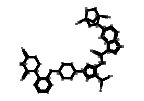 O=C1CCN(c2ccccc2CN2CCC(n3cc(NC(=O)c4cnn5ccc(N6C[C@H]7C[C@@H]6CO7)nc45)c(C(F)F)n3)CC2)C(=O)N1